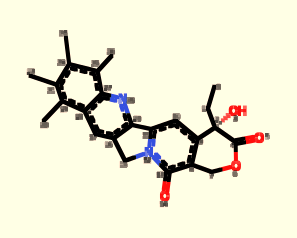 CC[C@@]1(O)C(=O)OCc2c1cc1n(c2=O)Cc2cc3c(C)c(C)c(C)c(C)c3nc2-1